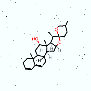 CC1CC[C@@]2(OC1)O[C@H]1C[C@H]3[C@@H]4CC=C5C=CCC[C@]5(C)[C@H]4C[C@@H](O)[C@]3(C)[C@H]1[C@H]2C